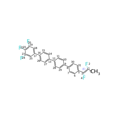 C/C(F)=C(\F)c1ccc(-c2ccc(-c3ccc(-c4cc(F)c(F)c(F)c4)cc3)cc2)cc1